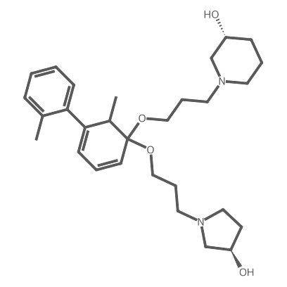 Cc1ccccc1C1=CC=CC(OCCCN2CCC[C@@H](O)C2)(OCCCN2CC[C@@H](O)C2)C1C